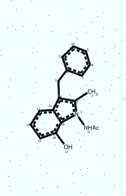 CC(=O)Nn1c(C)c(Cc2ccccc2)c2cccc(O)c21